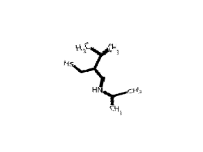 CC(C)NCC(CS)C(C)C